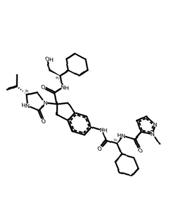 CC(C)[C@@H]1CN(C2(C(=O)N[C@@H](CO)C3CCCCC3)Cc3ccc(NC(=O)[C@@H](NC(=O)c4ccnn4C)C4CCCCC4)cc3C2)C(=O)N1